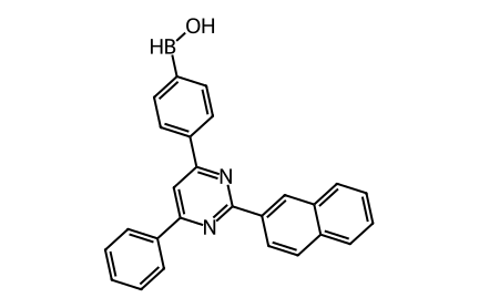 OBc1ccc(-c2cc(-c3ccccc3)nc(-c3ccc4ccccc4c3)n2)cc1